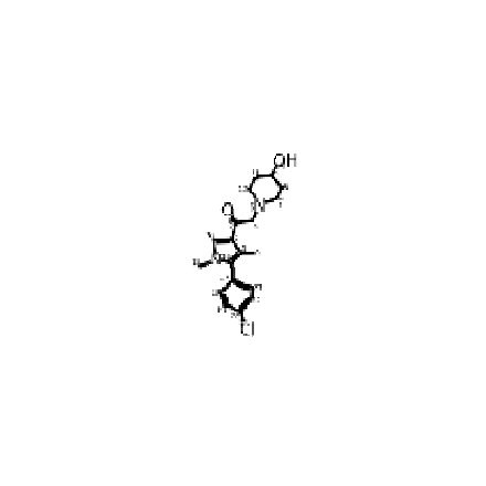 Cc1c(C(=O)CN2CCC(O)CC2)cn(C)c1-c1ccc(Cl)cc1